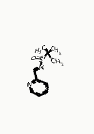 CC(C)(C)[S@+]([O-])N=Cc1ccccn1